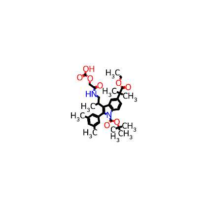 CCOC(=O)C(C)(C)c1ccc2c(c1)c(C(C)CNC(=O)COC(=O)O)c(-c1cc(C)cc(C)c1)n2C(=O)OC(C)(C)C